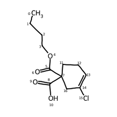 CCCCOC(=O)C1(C(=O)O)CCC=C(Cl)C1